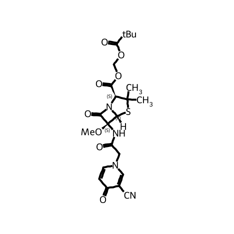 CO[C@@]1(NC(=O)Cn2ccc(=O)c(C#N)c2)C(=O)N2[C@@H](C(=O)OCOC(=O)C(C)(C)C)C(C)(C)S[C@@H]21